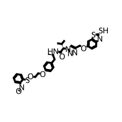 CC(C)[C@@H](C(=O)N[C@H](C)Cc1ccc(OCCOSc2ccccc2N=O)cc1)n1cc(COc2ccc3nc(S)sc3c2)nn1